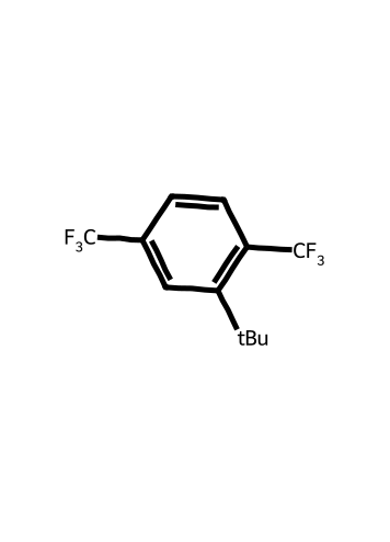 CC(C)(C)c1cc(C(F)(F)F)ccc1C(F)(F)F